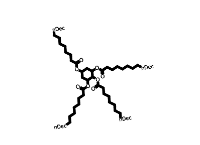 CCCCCCCCCCCCCCCCCC(=O)OC1CC(OC(=O)CCCCCCCCCCCCCCCCC)C(OC(=O)CCCCCCCCCCCCCCCCC)C(OC(=O)CCCCCCCCCCCCCCCCC)C1